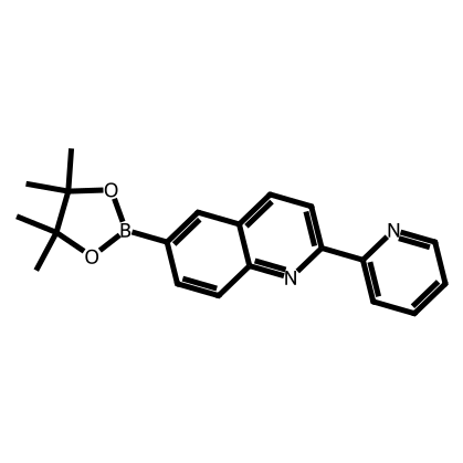 CC1(C)OB(c2ccc3nc(-c4ccccn4)ccc3c2)OC1(C)C